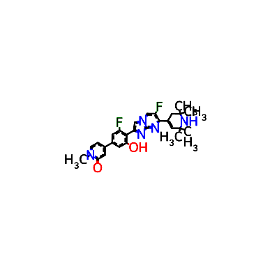 Cn1ccc(-c2cc(O)c(-c3cn4cc(F)c(C5=CC(C)(C)NC(C)(C)C5)nc4n3)c(F)c2)cc1=O